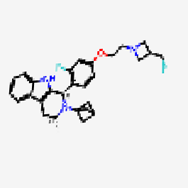 C[C@@H]1Cc2c([nH]c3ccccc23)[C@@H](c2ccc(OCCN3CC(CF)C3)cc2F)N1C12CC(C1)C2